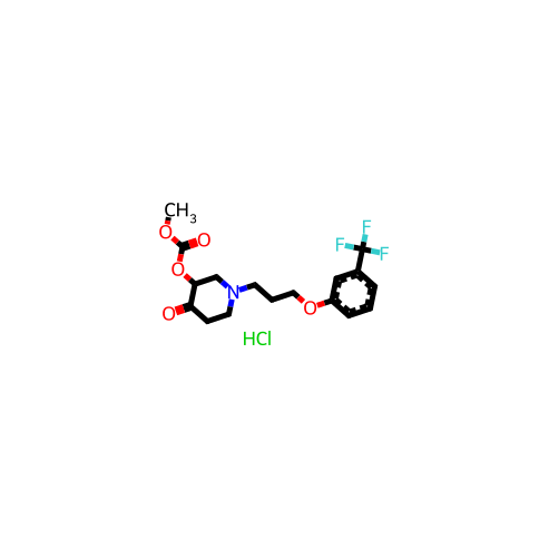 COC(=O)OC1CN(CCCOc2cccc(C(F)(F)F)c2)CCC1=O.Cl